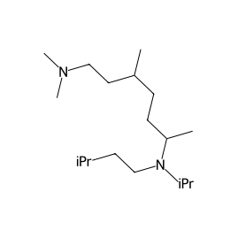 CC(C)CCN(C(C)C)C(C)CCC(C)CCN(C)C